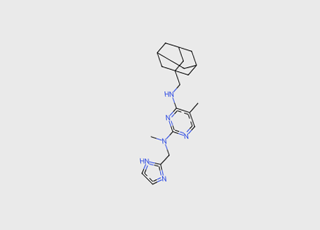 Cc1cnc(N(C)Cc2ncc[nH]2)nc1NCC12CC3CC(CC(C3)C1)C2